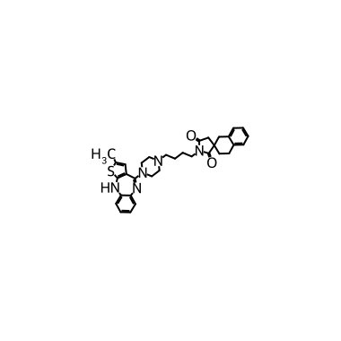 Cc1cc2c(s1)Nc1ccccc1N=C2N1CCN(CCCCN2C(=O)CC3(CCc4ccccc4C3)C2=O)CC1